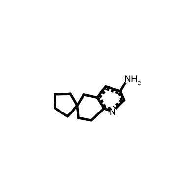 Nc1cnc2c(c1)CC1(CCCC1)CC2